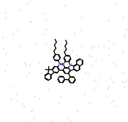 CCCCCc1ccc(N2B3c4cc(CCCCC)ccc4-n4c5c3c(cc(-c3ccccc3-c3ccccc3)c5c3ccc5ccccc5c34)-c3cc4c(cc32)C(C)(C)c2ccccc2-4)cc1